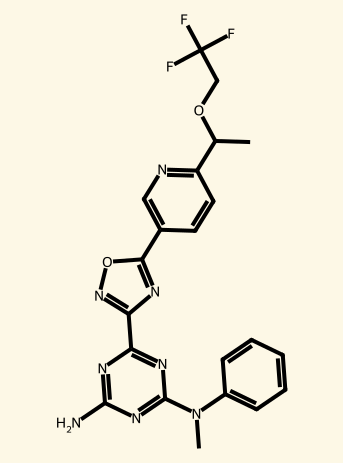 CC(OCC(F)(F)F)c1ccc(-c2nc(-c3nc(N)nc(N(C)c4ccccc4)n3)no2)cn1